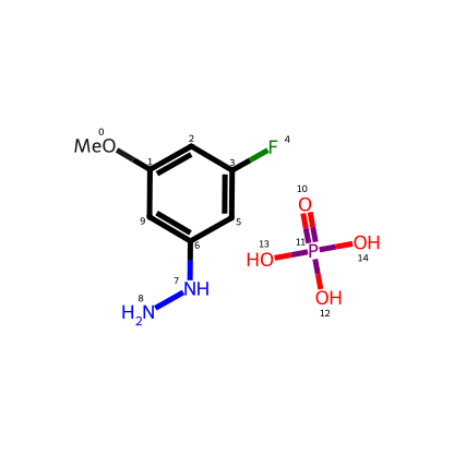 COc1cc(F)cc(NN)c1.O=P(O)(O)O